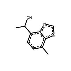 Cc1ccc(C(C)O)n2ncnc12